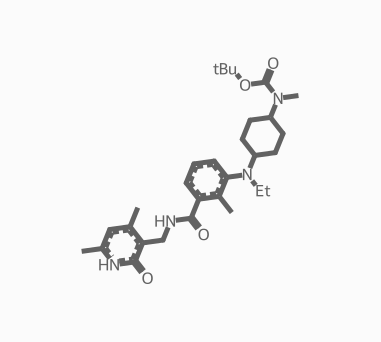 CCN(c1cccc(C(=O)NCc2c(C)cc(C)[nH]c2=O)c1C)C1CCC(N(C)C(=O)OC(C)(C)C)CC1